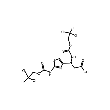 O=C(O)CN(NC(=O)OCC(Cl)(Cl)Cl)c1csc(NC(=O)OCC(Cl)(Cl)Cl)n1